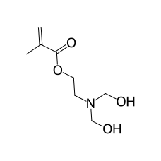 C=C(C)C(=O)OCCN(CO)CO